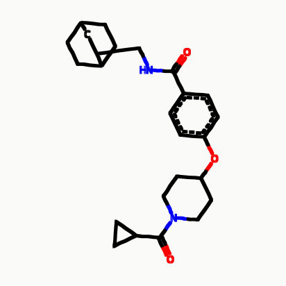 O=C(NCC1CC2CCC1CC2)c1ccc(OC2CCN(C(=O)C3CC3)CC2)cc1